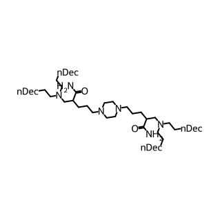 CCCCCCCCCCCCN(CCCCCCCCCCCC)CC(CCCN1CCN(CCCC(CN(CCCCCCCCCCCC)CCCCCCCCCCCC)C(N)=O)CC1)C(N)=O